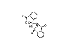 O=C(Cl)c1ccccc1S(=O)(=O)NS(=O)(=O)c1ccccc1C(=O)Cl